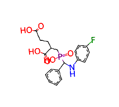 O=C(O)CCC(CP(=O)(O)C(Nc1ccc(F)cc1)c1ccccc1)C(=O)O